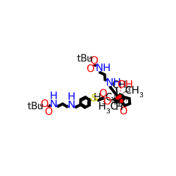 C[C@@H]1CC[C@@]23CCC(=O)[C@H]2[C@]1(C)[C@H](OC(=O)CSc1ccc(CNCCCNC(=O)OC(C)(C)C)cc1)C[C@](C)(CNCCCNC(=O)OC(C)(C)C)[C@@H](O)[C@@H]3C